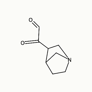 O=CC(=O)C1CN2CCC1C2